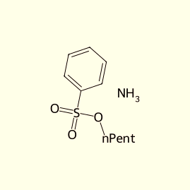 CCCCCOS(=O)(=O)c1ccccc1.N